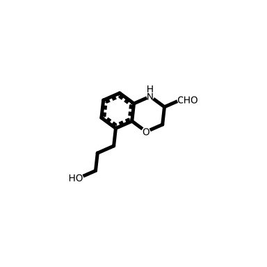 O=CC1COc2c(CCCO)cccc2N1